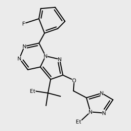 CCn1ncnc1COc1nn2c(-c3ccccc3F)nncc2c1C(C)(C)CC